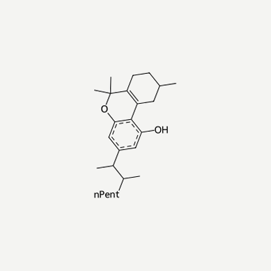 CCCCCC(C)C(C)c1cc(O)c2c(c1)OC(C)(C)C1=C2CC(C)CC1